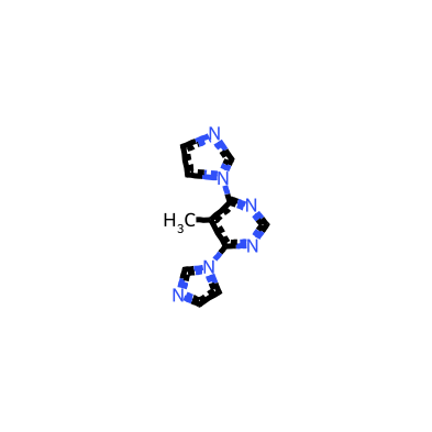 Cc1c(-n2ccnc2)ncnc1-n1ccnc1